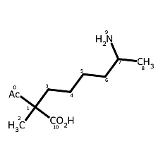 CC(=O)C(C)(CCCCC(C)N)C(=O)O